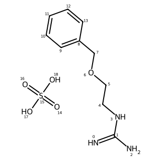 N=C(N)NCCOCc1ccccc1.O=S(=O)(O)O